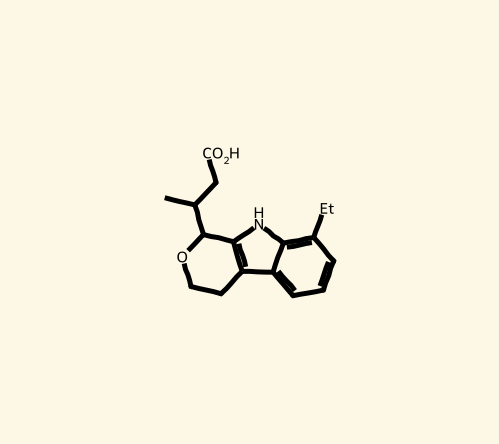 CCc1cccc2c3c([nH]c12)C(C(C)CC(=O)O)OCC3